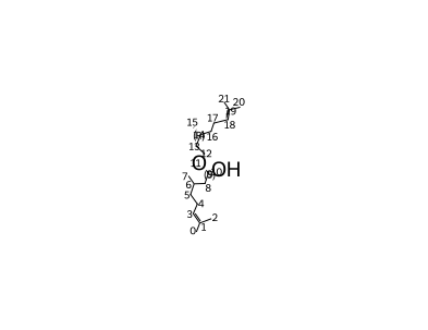 CC(C)=CCCC(C)C[C@@H](O)OCC[C@H](C)CCC=C(C)C